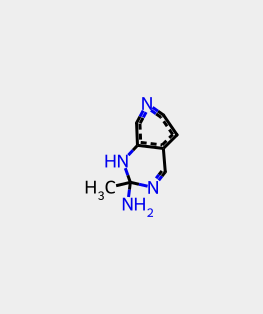 CC1(N)N=Cc2ccncc2N1